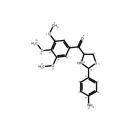 COc1cc(C(=O)C2CSC(c3ccc(N)cc3)N2)cc(OC)c1OC